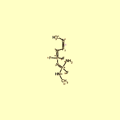 C/N=P\N=P(F)(F)N=P(N)(F)NC